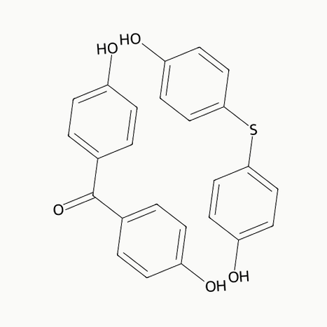 O=C(c1ccc(O)cc1)c1ccc(O)cc1.Oc1ccc(Sc2ccc(O)cc2)cc1